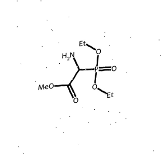 CCOP(=O)(OCC)C(N)C(=O)OC